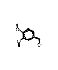 COc1ccc(C[O])cc1OC